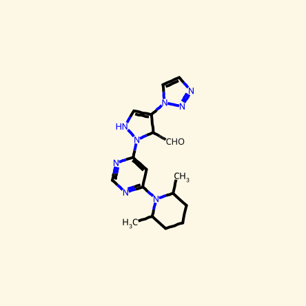 CC1CCCC(C)N1c1cc(N2NC=C(n3ccnn3)C2C=O)ncn1